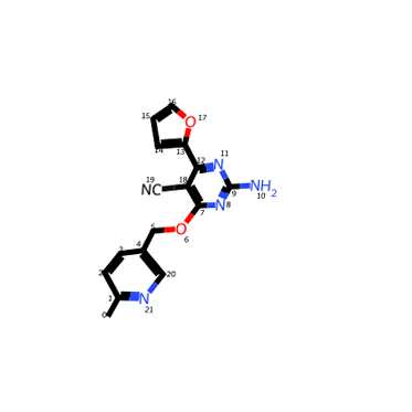 Cc1ccc(COc2nc(N)nc(-c3ccco3)c2C#N)cn1